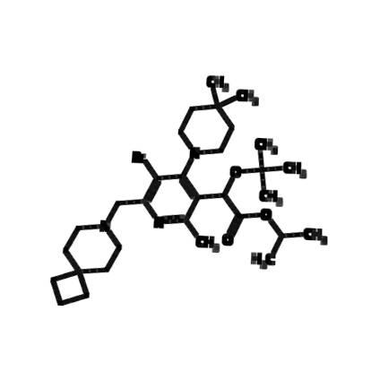 Cc1nc(CN2CCC3(CCC3)CC2)c(Br)c(N2CCC(C)(C)CC2)c1C(OC(C)(C)C)C(=O)OC(C)C